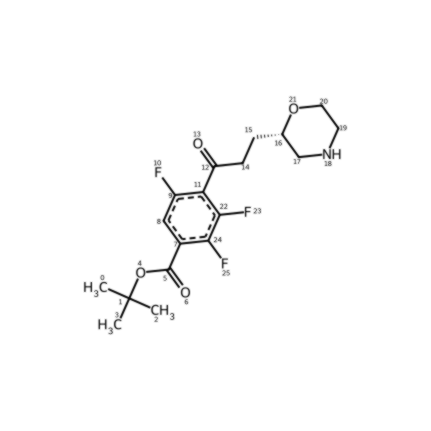 CC(C)(C)OC(=O)c1cc(F)c(C(=O)CC[C@H]2CNCCO2)c(F)c1F